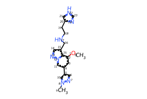 COc1cc(-c2cnn(C)c2)cn2ncc(CNCCc3c[nH]cn3)c12